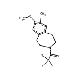 COc1cc2c(cc1C)CCN(C(=O)C(F)(F)F)CC2